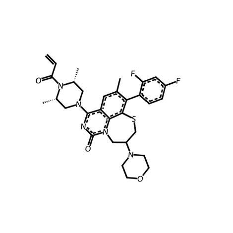 C=CC(=O)N1[C@H](C)CN(c2nc(=O)n3c4c(c(-c5ccc(F)cc5F)c(C)cc24)SCC(N2CCOCC2)C3)C[C@@H]1C